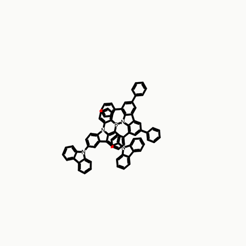 c1ccc(-c2cc(-c3ccccc3)c3c(c2)c2cc(-c4ccccc4)cc(-c4ccccc4)c2n3B2c3ccccc3-n3c4ccc(-n5c6ccccc6c6ccccc65)cc4c4cc(-n5c6ccccc6c6ccccc65)cc2c43)cc1